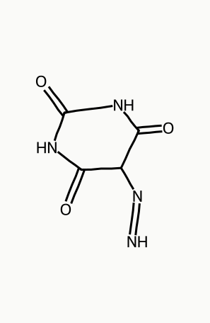 N=NC1C(=O)NC(=O)NC1=O